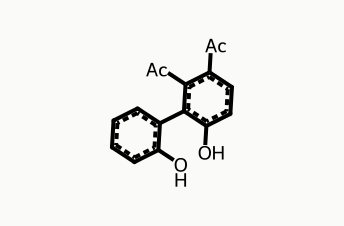 CC(=O)c1ccc(O)c(-c2ccccc2O)c1C(C)=O